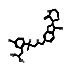 CC(C)Oc1cc(F)ccc1C(F)(F)CNCc1ccc2c(c1)CN(C1CCCNC1=O)C2O